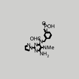 CNc1c(N)nc(-n2cccn2)nc1N(C=O)Cc1cccc(C[PH](=O)O)c1